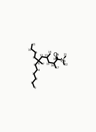 CCCCCCC(C)(CCCC)CC(C)CC(C)C(=O)N(C)C